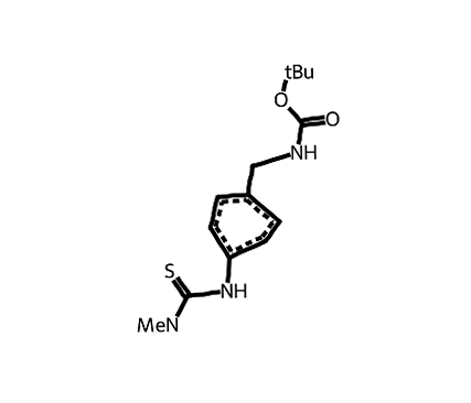 CNC(=S)Nc1ccc(CNC(=O)OC(C)(C)C)cc1